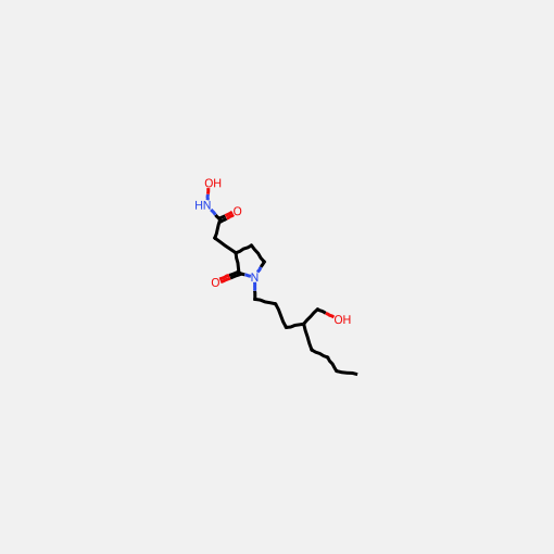 CCCCC(CO)CCCN1CCC(CC(=O)NO)C1=O